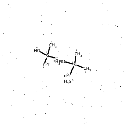 CCC[Si](C)(C)O.CCC[Si](C)(C)O.S